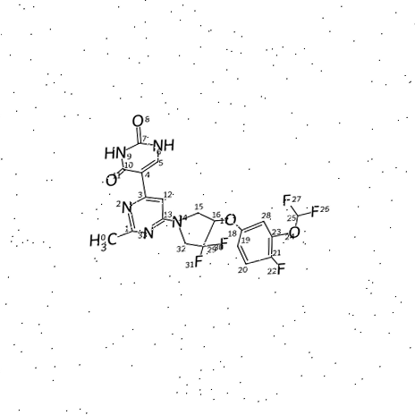 Cc1nc(-c2c[nH]c(=O)[nH]c2=O)cc(N2CC(Oc3ccc(F)c(OC(F)F)c3)C(F)(F)C2)n1